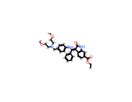 CCOC(=O)c1ccc2c(c1)NC(=O)/C2=C(\Nc1ccc(CN(CCOC)CCOC)cc1)c1ccccc1